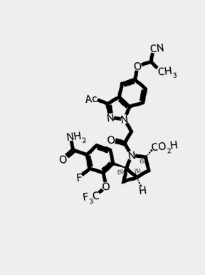 CC(=O)c1nn(CC(=O)N2[C@H](C(=O)O)C[C@H]3C[C@@]32c2ccc(C(N)=O)c(F)c2OC(F)(F)F)c2ccc(OC(C)C#N)cc12